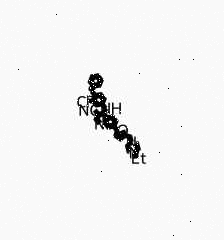 CCN1CCN(Cc2ccc(-c3ccc4c(Nc5ccc(Sc6ccccc6)c(Cl)c5)c(C#N)cnc4c3)o2)CC1